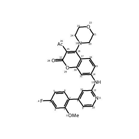 COc1cc(F)ccc1-c1ccnc(Nc2ccc3c(N4CCOCC4)c(C(C)=O)c(=O)oc3c2)c1